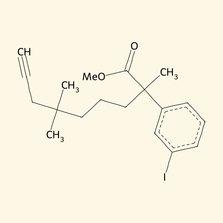 C#CCC(C)(C)CCCC(C)(C(=O)OC)c1cccc(I)c1